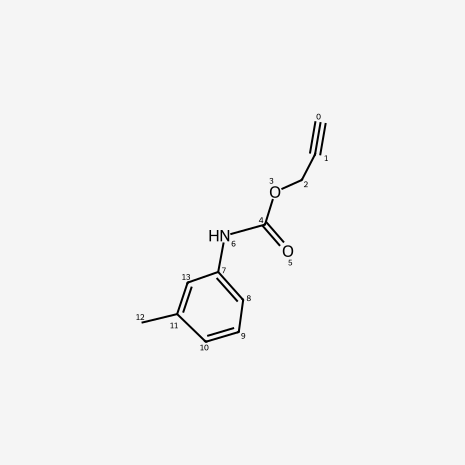 C#CCOC(=O)Nc1cccc(C)c1